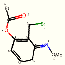 CCC(=O)OC1=C(CBr)C(=NOC)CC=C1